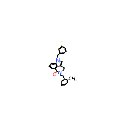 Cc1ccccc1CCN1CCc2cn(Cc3cccc(F)c3)c3cccc(c23)C1=O